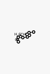 CC1(C)c2cc(-c3ccc4ccc5c(-c6ccccc6)ccc6ccc3c4c65)ccc2-c2c1ccc1oc3ccccc3c21